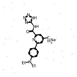 CCN(CC)c1ccc(-c2cc(C)cc(C(=O)Nc3nnn[nH]3)n2)cc1.[Na]